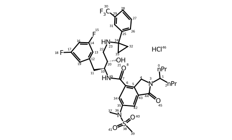 CCCC(CCC)N1Cc2c(C(=O)N[C@@H](Cc3cc(F)cc(F)c3)[C@@H](O)CNC3(c4cccc(C(F)(F)F)c4)CC3)cc(N(C)S(C)(=O)=O)cc2C1=O.Cl